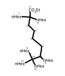 CCCCCCC(CCCCC(CCCCCC)(CCCCCC)C(=O)OCC)C(CCCCCC)(CCCCCC)CCCCCC